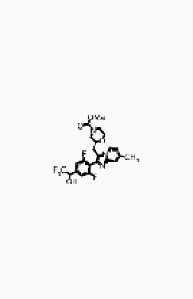 COC(=O)N1CCO[C@@H](Cc2c(-c3c(F)cc(C(O)C(F)(F)F)cc3F)nc3cc(C)ccn23)C1